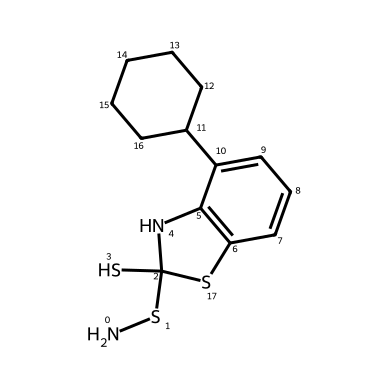 NSC1(S)Nc2c(cccc2C2CCCCC2)S1